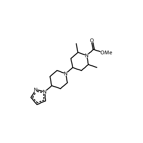 COC(=O)N1C(C)CC(N2CCC(n3cccn3)CC2)CC1C